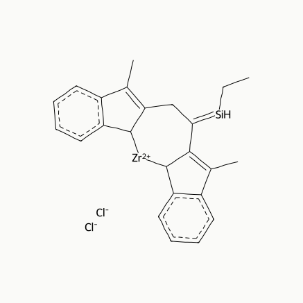 CC[SiH]=C1CC2=C(C)c3ccccc3[CH]2[Zr+2][CH]2C1=C(C)c1ccccc12.[Cl-].[Cl-]